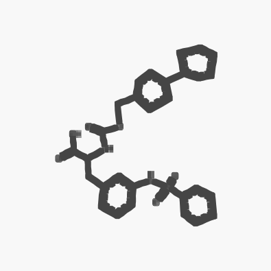 O=C(NC(Cc1cccc(NS(=O)(=O)c2ccccc2)c1)C(=O)O)OCc1ccc(-c2ccccc2)cc1